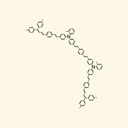 Cc1ccc(C(=C/C=C/c2ccc(/C=C/c3ccc(N(c4ccc(/C=C/c5ccc(/C=C/c6ccc(N(c7ccc(/C=C/c8ccc(/C=C/C=C(c9ccc(C)cc9)c9ccc(C)cc9)cc8)cc7)c7ccccc7C)cc6)cc5)cc4)c4ccccc4C)cc3)cc2)c2ccc(C)cc2)cc1